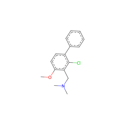 COc1ccc(-c2ccccc2)c(Cl)c1CN(C)C